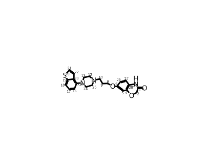 O=C1COc2cc(OCCCN3CCN(c4cccc5sccc45)CC3)ccc2N1